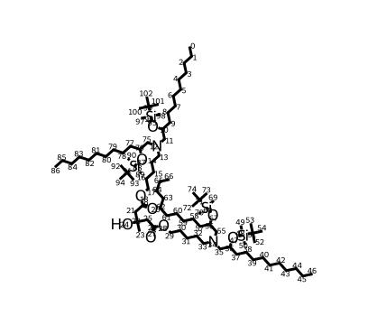 CCCCCCCCCCC(CN(CCCCCOC(=O)CC(C)(O)CC(=O)OCCCCCN(CC(CCCCCCCCCC)O[Si](C)(C)C(C)(C)C)CC(CCCCCCCCCC)O[Si](C)(C)C(C)(C)C)CC(CCCCCCCCCC)O[Si](C)(C)C(C)(C)C)O[Si](C)(C)C(C)(C)C